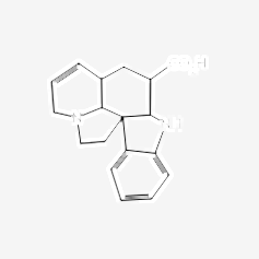 O=C(O)C1CC2C=CCN3CCC4(c5ccccc5NC14)C23